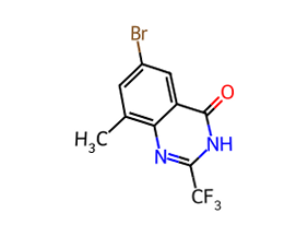 Cc1cc(Br)cc2c(=O)[nH]c(C(F)(F)F)nc12